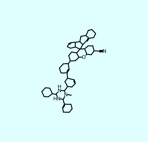 CN1C(C2=CCCCC2)NC(C2CCCCC2)NC1C1CC=CC(C2=CC(C3CCC4C(C3)OC3CC(C#N)CCC3C43C4C=C5CCCCC5CC4C4C=CCCC43)CCC2)C1